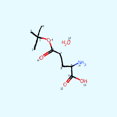 CC(C)(C)OC(=O)CCC(N)C(=O)O.O